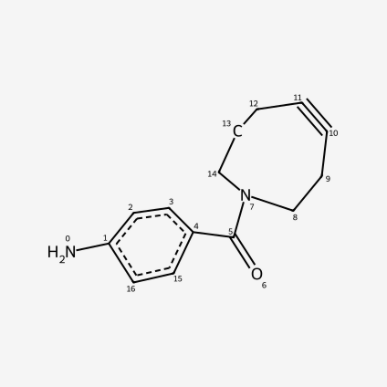 Nc1ccc(C(=O)N2CCC#CCCC2)cc1